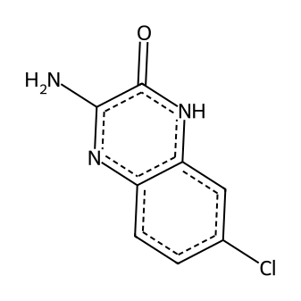 Nc1nc2ccc(Cl)cc2[nH]c1=O